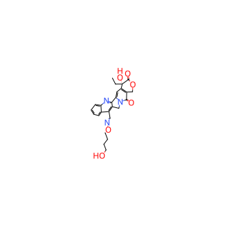 CC[C@@]1(O)C(=O)OCc2c1cc1n(c2=O)Cc2c-1nc1ccccc1c2C=NOCCCCO